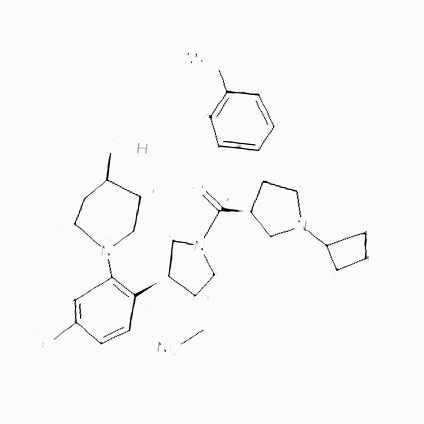 COc1ccc([C@@H]2CN(C3CCC3)C[C@H]2C(=O)N2C[C@H](CC#N)[C@@H](c3ccc(C(F)(F)F)cc3N3CCC(C(=O)O)CC3)C2)cc1